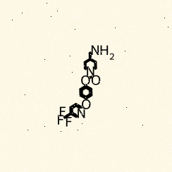 NCC1CCN(C(=O)Oc2ccc(Oc3ccc(C(F)(F)F)cn3)cc2)CC1